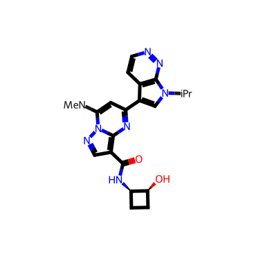 CNc1cc(-c2cn(C(C)C)c3nnccc23)nc2c(C(=O)N[C@@H]3CC[C@@H]3O)cnn12